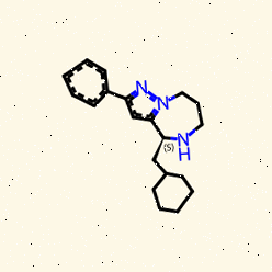 c1ccc(-c2cc3n(n2)CCCN[C@H]3CC2CCCCC2)cc1